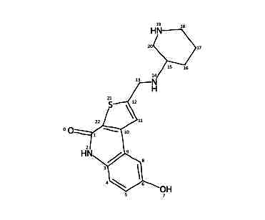 O=c1[nH]c2ccc(O)cc2c2cc(CNC3CCCNC3)sc12